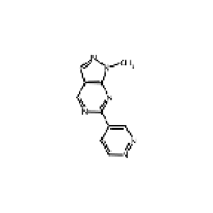 Cn1ncc2cnc(-c3ccnnc3)nc21